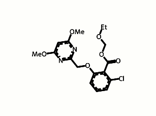 CCOCOC(=O)c1c(Cl)cccc1OCc1nc(OC)cc(OC)n1